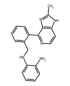 Cc1nc2c(-c3ccccc3CNc3ccccc3N)nccc2[nH]1